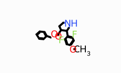 COc1cc(F)c(C2CNCCC2C(=O)OCc2ccccc2)c(F)c1